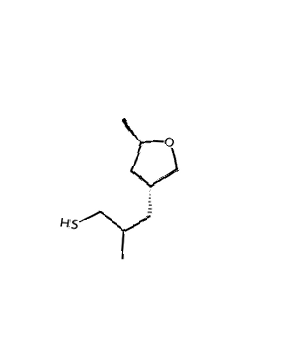 CC(CS)C[C@H]1CO[C@H](C)C1